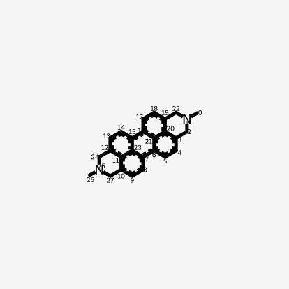 CN1Cc2ccc3c4ccc5c6c(ccc(c7ccc(c2c37)C1)c64)CN(C)C5